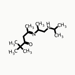 CC(CC(=O)C(C)(C)C)=NC(C)CNC(C)C